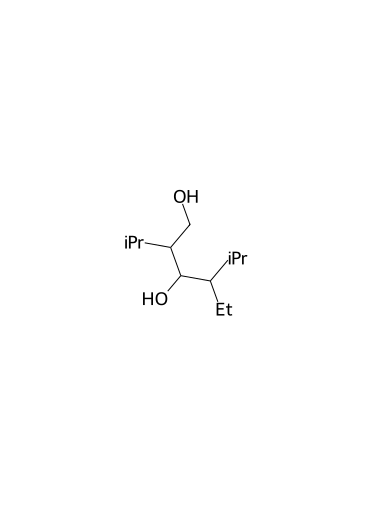 CCC(C(C)C)C(O)C(CO)C(C)C